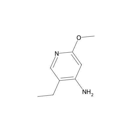 CCc1cnc(OC)cc1N